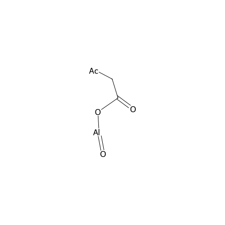 CC(=O)CC(=O)[O][Al]=[O]